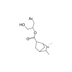 CC(=O)CC(CO)OC(=O)C1CC2CC1[C@H](C)C2C